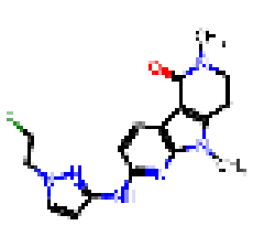 CN1CCc2c(c3ccc(Nc4ccn(CCF)n4)nc3n2C)C1=O